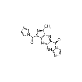 Cc1nn(C(=O)n2ccnc2)c2nc(N)c(C(=O)n3ccnc3)nc12